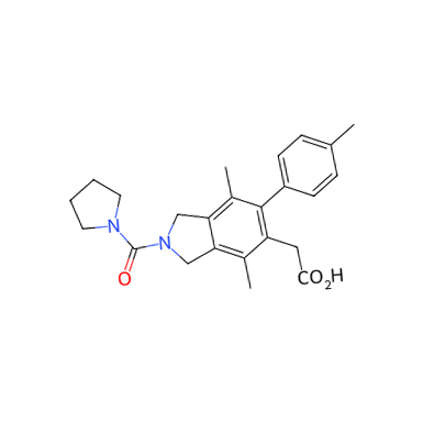 Cc1ccc(-c2c(C)c3c(c(C)c2CC(=O)O)CN(C(=O)N2CCCC2)C3)cc1